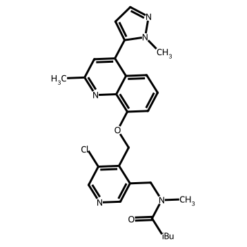 CCC(C)C(=O)N(C)Cc1cncc(Cl)c1COc1cccc2c(-c3ccnn3C)cc(C)nc12